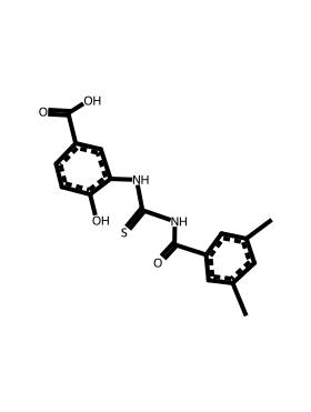 Cc1cc(C)cc(C(=O)NC(=S)Nc2cc(C(=O)O)ccc2O)c1